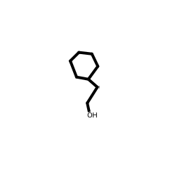 OC[C]C1CCCCC1